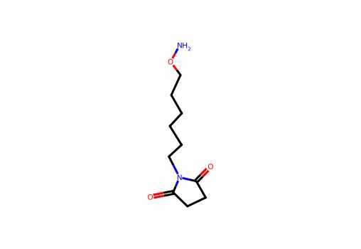 NOCCCCCCN1C(=O)CCC1=O